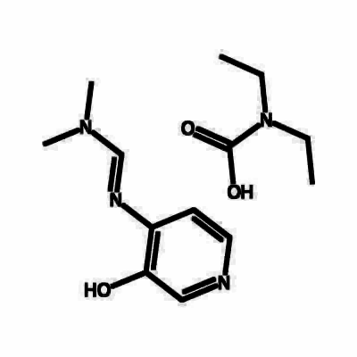 CCN(CC)C(=O)O.CN(C)C=Nc1ccncc1O